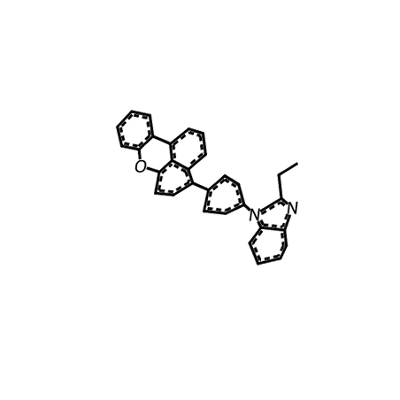 CCc1nc2ccccc2n1-c1ccc(-c2ccc3c4c(cccc24)-c2ccccc2O3)cc1